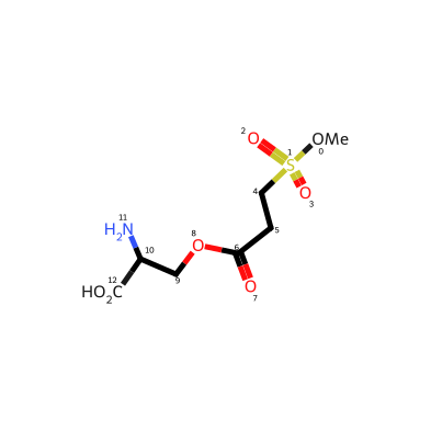 COS(=O)(=O)CCC(=O)OCC(N)C(=O)O